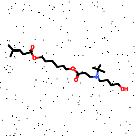 CC(C)=CCC(=O)OCCCCCCOC(=O)CCN(CCCCO)C(C)(C)C